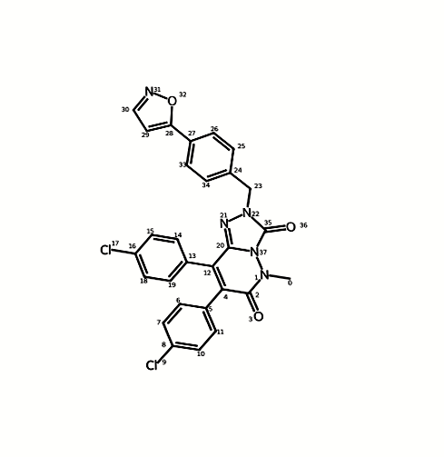 Cn1c(=O)c(-c2ccc(Cl)cc2)c(-c2ccc(Cl)cc2)c2nn(Cc3ccc(-c4ccno4)cc3)c(=O)n21